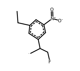 [CH2]C(CF)c1cc(CC)cc([N+](=O)[O-])c1